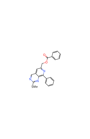 CSc1ncc2cc(COC(=O)c3ccccc3)nc(-c3ccccc3)c2n1